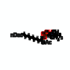 CCCCCCCCCCCCCCCCCCC(COP(=O)(O)CC[N+](C)(C)C)OC(C)=O